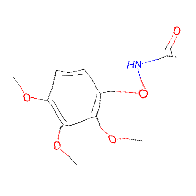 COc1ccc(ON[C]=O)c(OC)c1OC